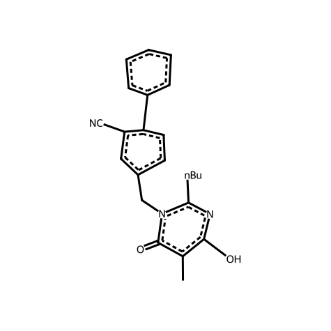 CCCCc1nc(O)c(C)c(=O)n1Cc1ccc(-c2ccccc2)c(C#N)c1